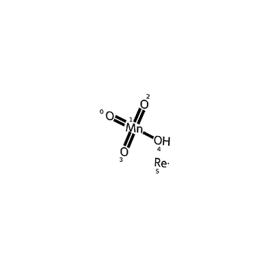 [O]=[Mn](=[O])(=[O])[OH].[Re]